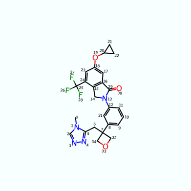 Cn1cnnc1CC1(c2cccc(N3Cc4c(cc(OC5CC5)cc4C(F)(F)F)C3=O)c2)COC1